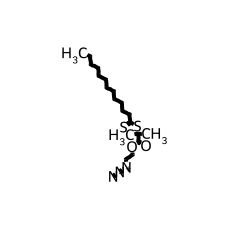 CCCCCCCCCCCCC(=S)SC(C)(C)C(=O)OCCN=[N+]=[N-]